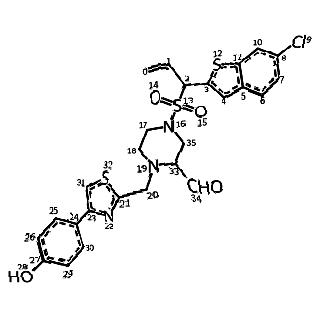 C=CC(c1cc2ccc(Cl)cc2s1)S(=O)(=O)N1CCN(Cc2nc(-c3ccc(O)cc3)cs2)C(C=O)C1